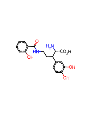 N[C@H](C(=O)O)C(CCNC(=O)c1ccccc1O)c1ccc(O)c(O)c1